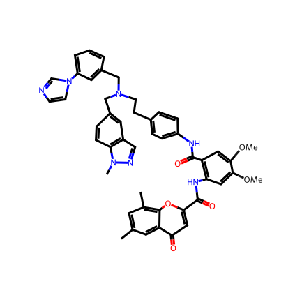 COc1cc(NC(=O)c2cc(=O)c3cc(C)cc(C)c3o2)c(C(=O)Nc2ccc(CCN(Cc3cccc(-n4ccnc4)c3)Cc3ccc4c(cnn4C)c3)cc2)cc1OC